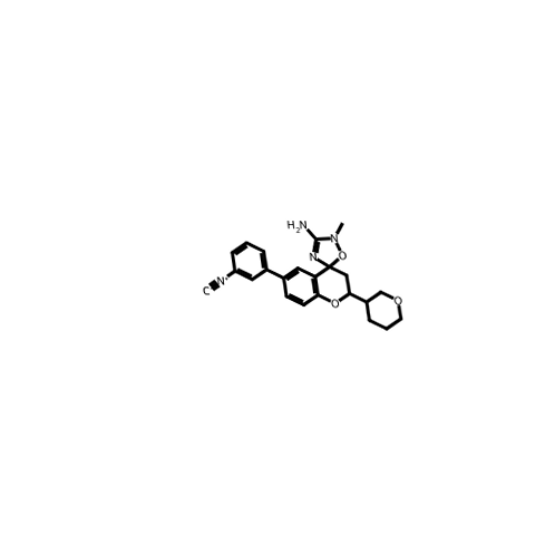 [C-]#[N+]c1cccc(-c2ccc3c(c2)C2(CC(C4CCCOC4)O3)N=C(N)N(C)O2)c1